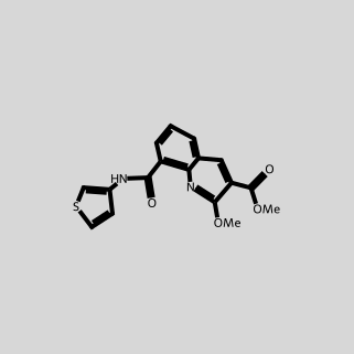 COC(=O)c1cc2cccc(C(=O)Nc3ccsc3)c2nc1OC